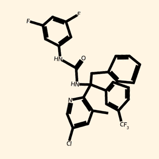 Cc1cc(Cl)cnc1C(Cc1ccccc1)(NC(=O)Nc1cc(F)cc(F)c1)c1cccc(C(F)(F)F)c1